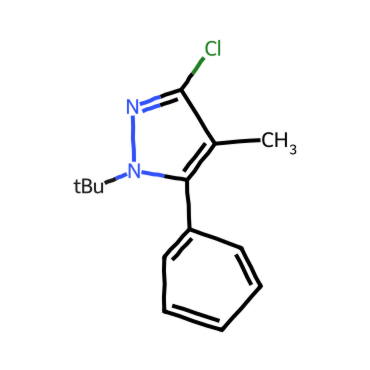 Cc1c(Cl)nn(C(C)(C)C)c1-c1ccccc1